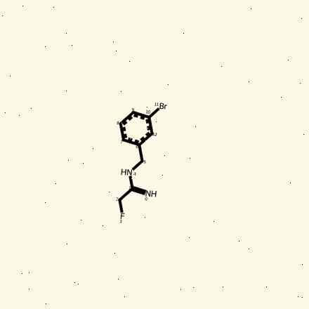 N=C(CF)NCc1cccc(Br)c1